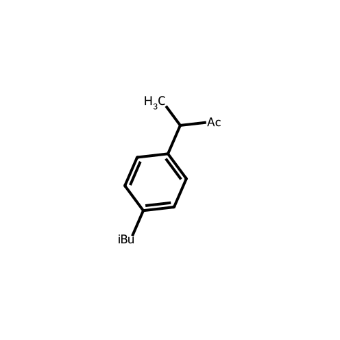 CCC(C)c1ccc(C(C)C(C)=O)cc1